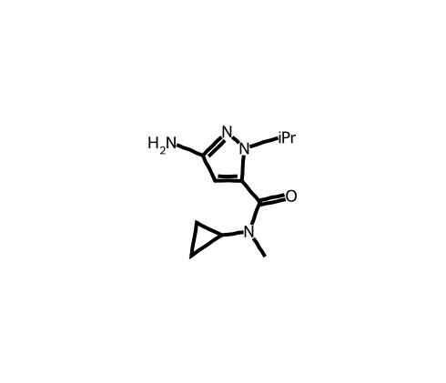 CC(C)n1nc(N)cc1C(=O)N(C)C1CC1